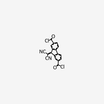 N#CC(C#N)=C1c2cc(C(=O)Cl)ccc2-c2ccc(C(=O)Cl)cc21